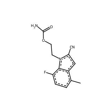 Cc1ccc(F)c2c1cc(C#N)n2CCOC(N)=O